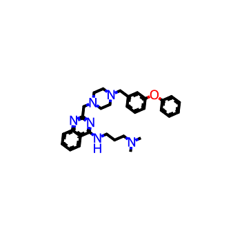 CN(C)CCCNc1nc(CN2CCN(Cc3cccc(Oc4ccccc4)c3)CC2)nc2ccccc12